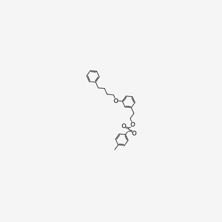 Cc1ccc(S(=O)(=O)OCCc2cccc(OCCCCc3ccccc3)c2)cc1